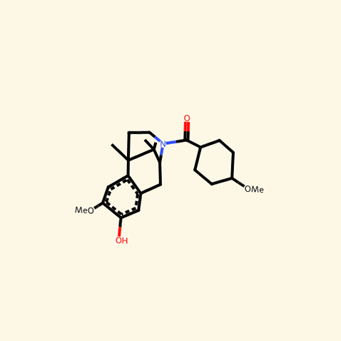 COc1cc2c(cc1O)CC1N(C(=O)C3CCC(OC)CC3)CCC2(C)C1(C)C